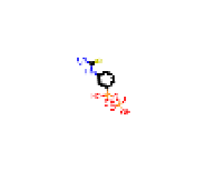 NC(=S)Nc1cccc(P(=O)(O)OP(=O)(O)O)c1